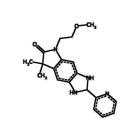 COCCN1C(=O)C(C)(C)c2cc3c(cc21)NC(c1ccccn1)N3